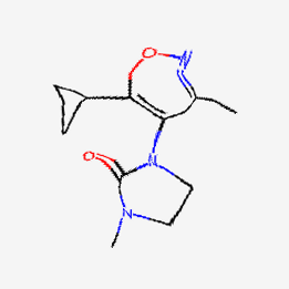 Cc1noc(C2CC2)c1N1CCN(C)C1=O